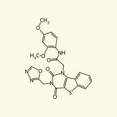 COc1ccc(NC(=O)Cn2c(=O)n(Cc3nnco3)c(=O)c3sc4ccccc4c32)c(OC)c1